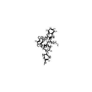 NC(CN1CCN(c2ncc(F)cn2)CC1)c1nc2ccccc2s1.O=C(O)/C=C/C(=O)O.O=C(O)/C=C/C(=O)O